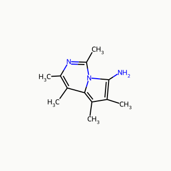 Cc1nc(C)n2c(N)c(C)c(C)c2c1C